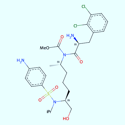 COC(=O)N(C(=O)[C@@H](N)Cc1cccc(Cl)c1Cl)[C@@H](C)CCC[C@@H](CO)N(C(C)C)S(=O)(=O)c1ccc(N)cc1